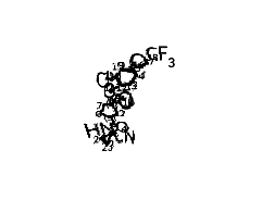 N#CC1(NC(=O)[C@H]2CC[C@@H](S(=O)(=O)c3ccc(OCC(F)(F)F)cc3Cl)C2)CC1